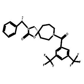 C[C@@H](c1ccccc1)N1C[C@@]2(CCCN(C(=O)c3cc(C(F)(F)F)cc(C(F)(F)F)c3)CC2)OC1=O